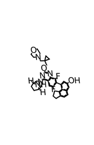 Oc1cc(-c2c(F)cc3c(N4C[C@H]5CC[C@@H](C4)N5)nc(OCC4(CN5CCOCC5)CC4)nc3c2F)c2c3c(ccc2c1)CCC3